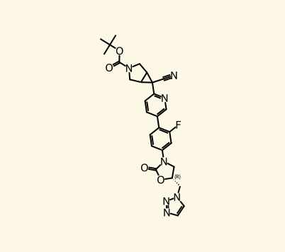 CC(C)(C)OC(=O)N1CC2C(C1)C2(C#N)c1ccc(-c2ccc(N3C[C@H](Cn4ccnn4)OC3=O)cc2F)cn1